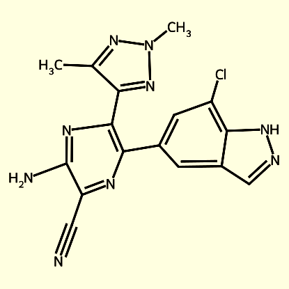 Cc1nn(C)nc1-c1nc(N)c(C#N)nc1-c1cc(Cl)c2[nH]ncc2c1